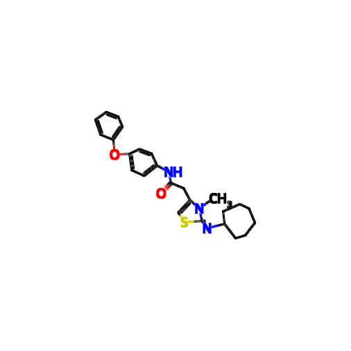 Cn1c(CC(=O)Nc2ccc(Oc3ccccc3)cc2)csc1=NC1CCCCCC1